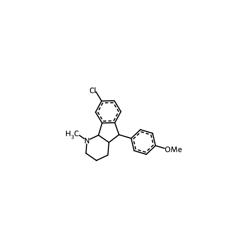 COc1ccc(C2c3ccc(Cl)cc3C3C2CCCN3C)cc1